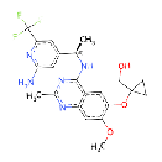 COc1cc2nc(C)nc(N[C@H](C)c3cc(N)nc(C(F)(F)F)c3)c2cc1OC1(CO)CC1